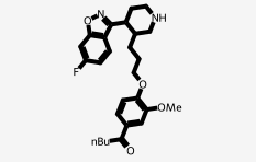 CCCCC(=O)c1ccc(OCCCC2CNCCC2c2noc3cc(F)ccc23)c(OC)c1